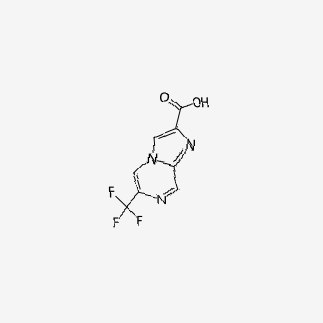 O=C(O)c1cn2cc(C(F)(F)F)ncc2n1